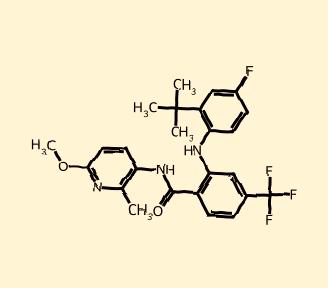 COc1ccc(NC(=O)c2ccc(C(F)(F)F)cc2Nc2ccc(F)cc2C(C)(C)C)c(C)n1